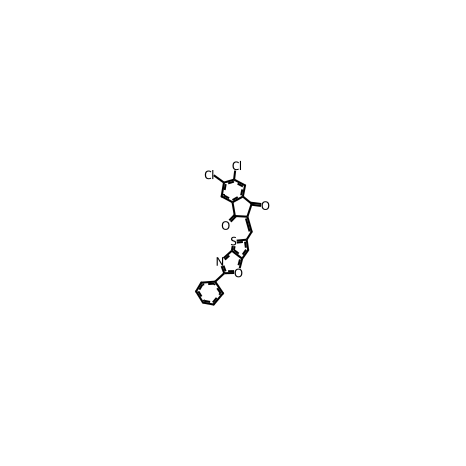 O=C1C(=Cc2cc3oc(-c4ccccc4)nc3s2)C(=O)c2cc(Cl)c(Cl)cc21